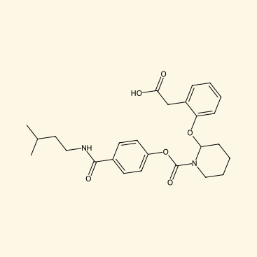 CC(C)CCNC(=O)c1ccc(OC(=O)N2CCCCC2Oc2ccccc2CC(=O)O)cc1